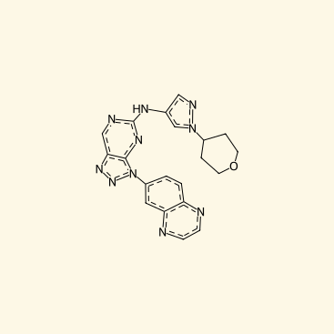 c1cnc2cc(-n3nnc4cnc(Nc5cnn(C6CCOCC6)c5)nc43)ccc2n1